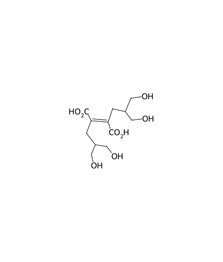 O=C(O)C(CC(CO)CO)=C(CC(CO)CO)C(=O)O